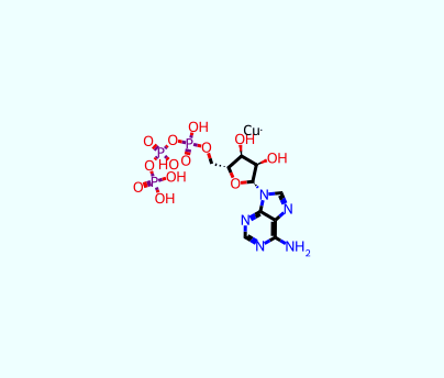 Nc1ncnc2c1ncn2[C@@H]1O[C@H](COP(=O)(O)OP(=O)(O)OP(=O)(O)O)[C@@H](O)[C@H]1O.[Cu]